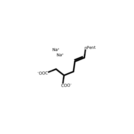 CCCCCC=CCC(CC(=O)[O-])C(=O)[O-].[Na+].[Na+]